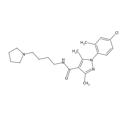 Cc1cc(Cl)ccc1-n1nc(C)c(C(=O)NCCCCN2CCCC2)c1C